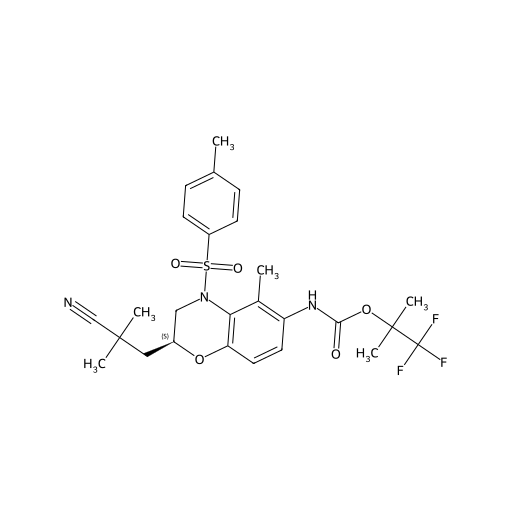 Cc1ccc(S(=O)(=O)N2C[C@H](CC(C)(C)C#N)Oc3ccc(NC(=O)OC(C)(C)C(F)(F)F)c(C)c32)cc1